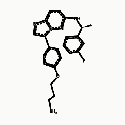 C[C@@H](Nc1ccc2ncc(-c3ccc(OCCCN)cc3)n2n1)c1cccc(F)c1